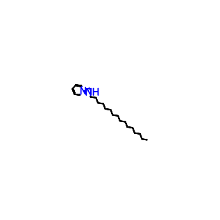 CCCCCCCCCCCCCCCCN[n+]1ccccc1